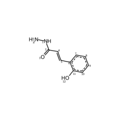 NNC(=O)/C=C/c1ccccc1O